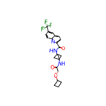 O=C(COC1CCC1)NC12CC(NC(=O)c3ccc4cc(C(F)(F)F)ccc4n3)(C1)C2